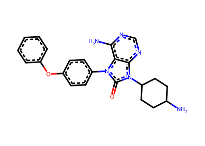 Nc1ncnc2c1n(-c1ccc(Oc3ccccc3)cc1)c(=O)n2C1CCC(N)CC1